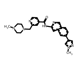 CN1CCN(Cc2cc(C(=O)Nc3cc4cc(-c5cnn(C)c5)ccc4cn3)ccn2)CC1